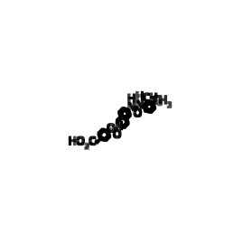 Cc1cccc(NC(=O)Nc2ccc3c(c2)CCN(C(=O)O[C@H]2CC[C@H](CC(=O)O)CC2)C3)c1C